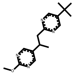 COc1ncc(C(C)Cc2ncc(C(C)(C)C)cn2)cn1